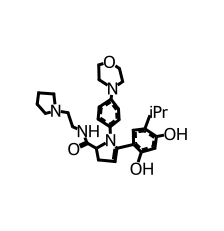 CC(C)c1cc(C2=CCC(C(=O)NCCN3CCCC3)N2c2ccc(N3CCOCC3)cc2)c(O)cc1O